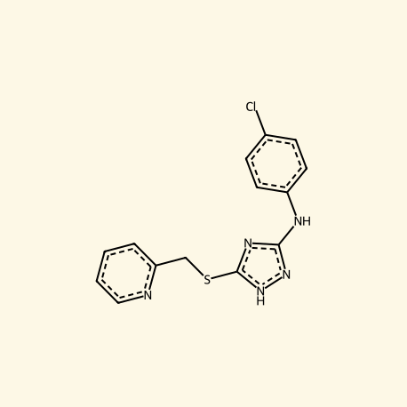 Clc1ccc(Nc2n[nH]c(SCc3ccccn3)n2)cc1